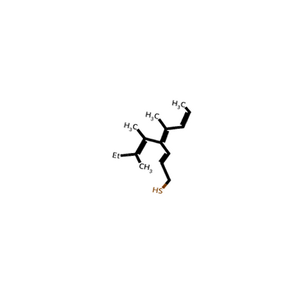 C\C=C/C(C)=C(\C=C\CS)C(/C)=C(\C)CC